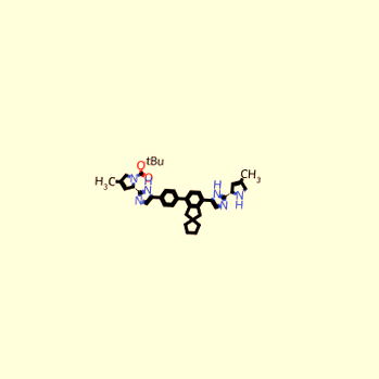 CC1=C[C@@H](c2ncc(-c3ccc(-c4ccc(-c5cnc([C@@H]6C=C(C)CN6C(=O)OC(C)(C)C)[nH]5)cc4)c4c3CC3(CCCC3)C4)[nH]2)NC1